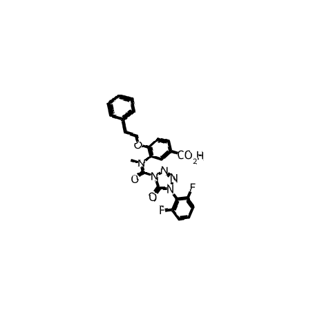 CN(C(=O)n1nnn(-c2c(F)cccc2F)c1=O)c1cc(C(=O)O)ccc1OCCc1ccccc1